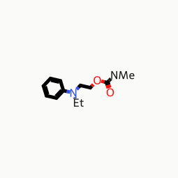 CCN(CCOC(=O)NC)c1ccccc1